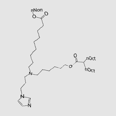 CCCCCCCCCOC(=O)CCCCCCCCN(CCCCCCOC(=O)C(CCCCCCCC)CCCCCCCC)CCCn1ccnc1